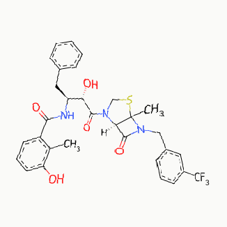 Cc1c(O)cccc1C(=O)N[C@@H](Cc1ccccc1)[C@H](O)C(=O)N1CSC2(C)[C@H]1C(=O)N2Cc1cccc(C(F)(F)F)c1